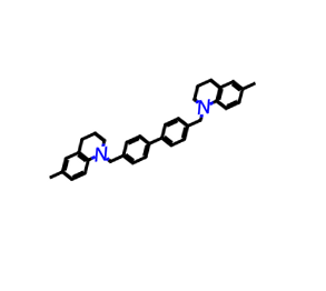 Cc1ccc2c(c1)CCCN2Cc1ccc(-c2ccc(CN3CCCc4cc(C)ccc43)cc2)cc1